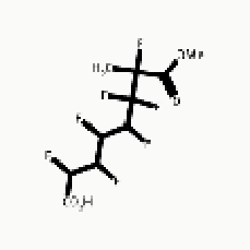 COC(=O)C(C)(F)C(F)(F)C(F)C(F)C(F)C(F)C(=O)O